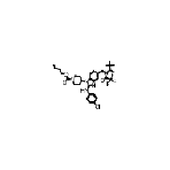 CCCCOC(=O)N1CCC(n2c(Nc3ccc(Cl)cc3)nc3cc(CN(C(=O)C(F)(F)F)C(C)C(C)(C)C)ccc32)CC1